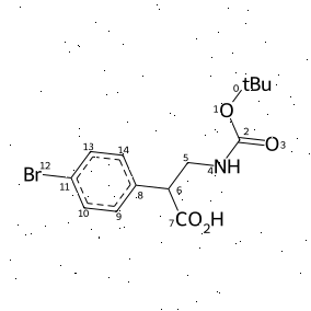 CC(C)(C)OC(=O)NCC(C(=O)O)c1ccc(Br)cc1